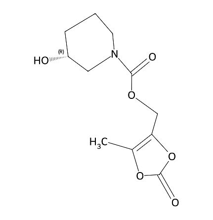 Cc1oc(=O)oc1COC(=O)N1CCC[C@@H](O)C1